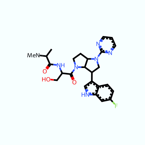 CNC(C)C(=O)NC(CO)C(=O)N1CCC2C1C(c1c[nH]c3cc(F)ccc13)CN2c1ncccn1